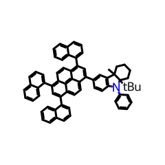 CC(C)(C)C12CCCCC1(C)c1cc(-c3cc(-c4cccc5ccccc45)c4ccc5c(-c6cccc7ccccc67)cc(-c6cccc7ccccc67)c6ccc3c4c65)ccc1N2c1ccccc1